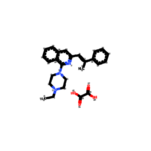 CCN1CCN(c2nc(/C=C(\C)c3ccccc3)cc3ccccc23)CC1.O=C(O)C(=O)O